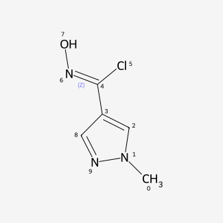 Cn1cc(/C(Cl)=N/O)cn1